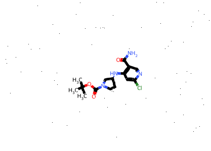 CC(C)(C)OC(=O)N1CC[C@@H](Nc2cc(Cl)ncc2C(N)=O)C1